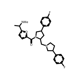 CNC(C)c1ccc(C(=O)N2CC(c3ccc(F)cc3)CC2CN2CCC(c3ccc(F)cc3)C2)o1